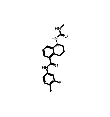 CNC(=O)N[C@H]1CCCc2c(C(=O)Nc3ccc(F)c(F)c3)cccc21